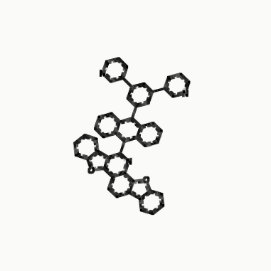 c1cncc(-c2cc(-c3cccnc3)cc(-c3c4ccccc4c(-c4nc5c(ccc6c7ccccc7oc65)c5oc6ccccc6c45)c4ccccc34)c2)c1